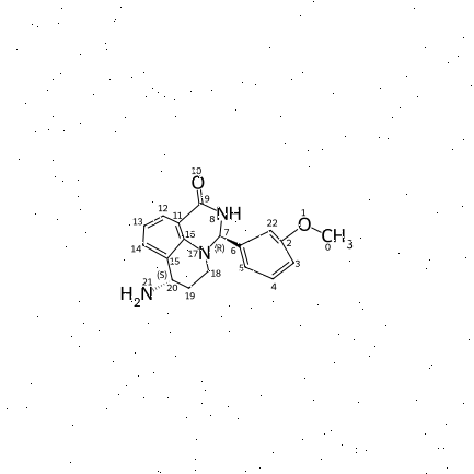 COc1cccc([C@@H]2NC(=O)c3cccc4c3N2CC[C@@H]4N)c1